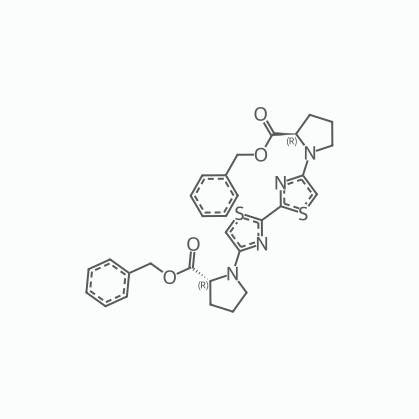 O=C(OCc1ccccc1)[C@H]1CCCN1c1csc(-c2nc(N3CCC[C@@H]3C(=O)OCc3ccccc3)cs2)n1